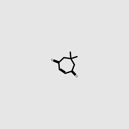 CC1(C)CC(=O)C=CC(=O)C1